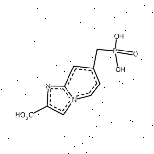 O=C(O)c1cn2ccc(CP(=O)(O)O)cc2n1